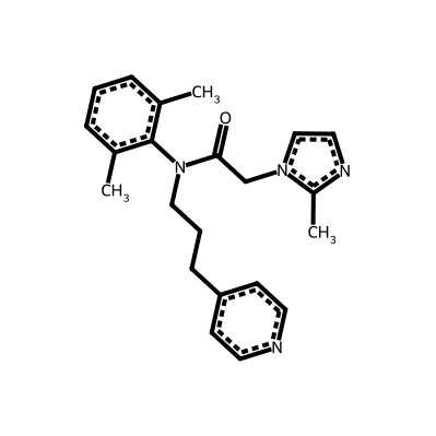 Cc1cccc(C)c1N(CCCc1ccncc1)C(=O)Cn1ccnc1C